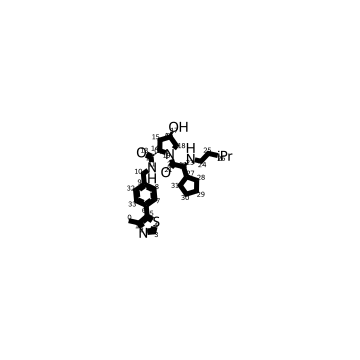 Cc1ncsc1-c1ccc(CNC(=O)[C@@H]2C[C@@H](O)CN2C(=O)[C@@H](NCCC(C)C)C2CCCC2)cc1